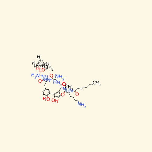 CCCCCCCC(=O)N[C@@H](CCCCN)C(=O)N(C)[C@@H]1C(=O)N[C@@H](N)C(=O)N[C@H](C(=O)N[C@@H](N)B2O[C@@H]3C[C@@H]4C[C@@H](C4(C)C)[C@]3(C)O2)Cc2ccc(O)c(c2)-c2cc1ccc2O